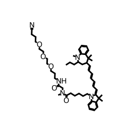 CCCC1CC(/C=C/C=C/C=C/C=C2\N(CCCCCC(=O)N(C)CC(=O)NCCCOCCOCCOCCCC#N)c3ccccc3C2(C)C)C(C)(C)c2ccccc2N1C